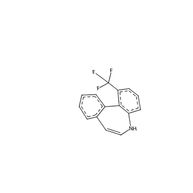 FC(F)(F)c1cccc2c1-c1ccccc1C=CN2